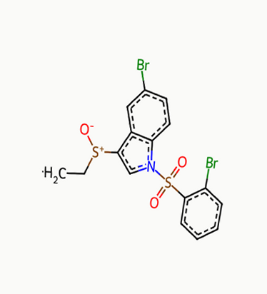 [CH2]C[S+]([O-])c1cn(S(=O)(=O)c2ccccc2Br)c2ccc(Br)cc12